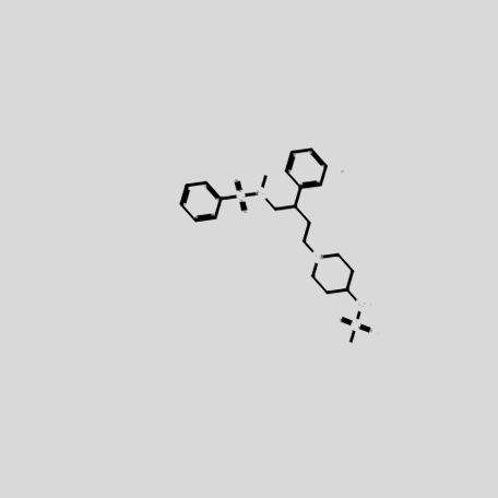 CN(CC(CCN1CCC(NS(C)(=O)=O)CC1)c1ccccc1)S(=O)(=O)c1ccccc1.Cl